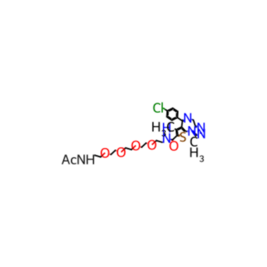 CC(=O)NCCOCCOCCOCCOCCNC(=O)c1sc2c(c1C)C(c1ccc(Cl)cc1)=NCc1nnc(C)n1-2